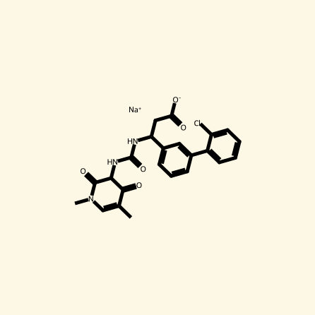 CC1=CN(C)C(=O)C(NC(=O)NC(CC(=O)[O-])c2cccc(-c3ccccc3Cl)c2)C1=O.[Na+]